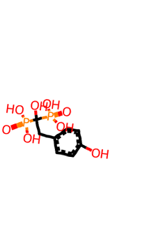 O=P(O)(O)C(O)(Cc1ccc(O)cc1)P(=O)(O)O